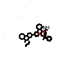 C=C/C=C\[C@H]1C(C)C2CCCCCC2C2CCC(c3cccc(C4=CC=CCC(NC(C)CCCC(C)c5ccccc5)=C4C4=C(C)C=C5CC5C#C4)c3)CC21